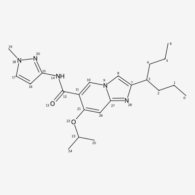 CCCC(CCC)c1cn2cc(C(=O)Nc3ccn(C)n3)c(OC(C)C)cc2n1